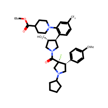 COc1ccc([C@@H]2CN(C3CCCC3)C[C@@]2(F)C(=O)N2C[C@H](C(=O)O)[C@@H](c3ccc(C(F)(F)F)cc3N3CCC(C(=O)OC(C)(C)C)CC3)C2)cc1